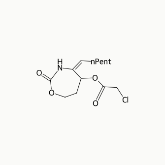 CCCCC/C=C1/NC(=O)OCCC1OC(=O)CCl